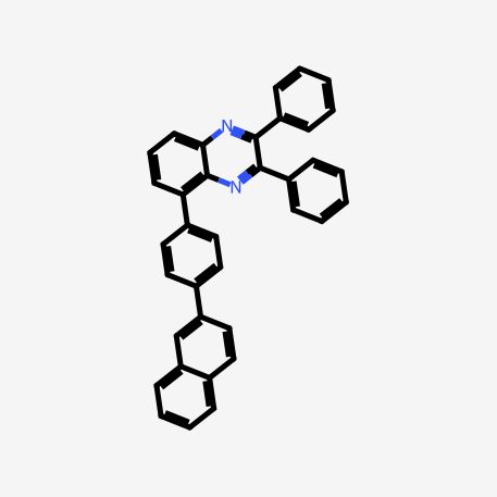 c1ccc(-c2nc3cccc(-c4ccc(-c5ccc6ccccc6c5)cc4)c3nc2-c2ccccc2)cc1